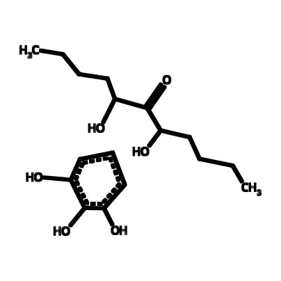 CCCCC(O)C(=O)C(O)CCCC.Oc1cccc(O)c1O